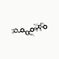 Cc1c(C(=O)Nc2ccc(-c3nc(-c4cccc(CN5CCNC(=O)C5)c4)cnc3N)cc2)c(=O)n(-c2ccccc2)n1C